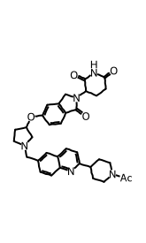 CC(=O)N1CCC(c2ccc3cc(CN4CCC(Oc5ccc6c(c5)CN(C5CCC(=O)NC5=O)C6=O)C4)ccc3n2)CC1